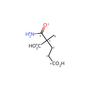 CC(CCC(=O)O)(C(N)=O)C(=O)O